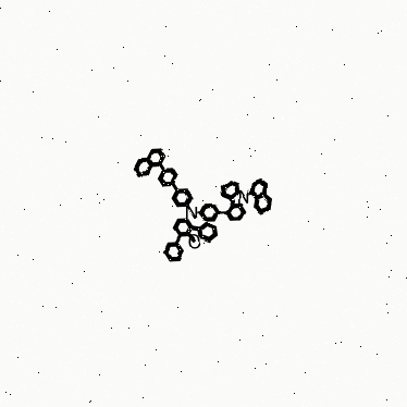 c1ccc(-c2ccc(N(c3ccc(-c4ccc(-c5cccc6ccccc56)cc4)cc3)c3ccc(-c4cccc5c4c4ccccc4n5-c4cccc5ccccc45)cc3)c3c2oc2ccccc23)cc1